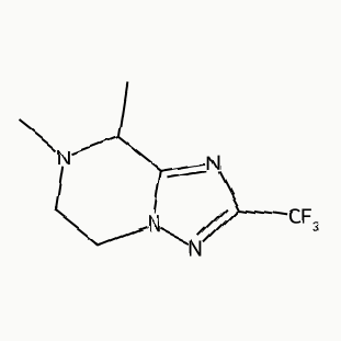 CC1c2nc(C(F)(F)F)nn2CCN1C